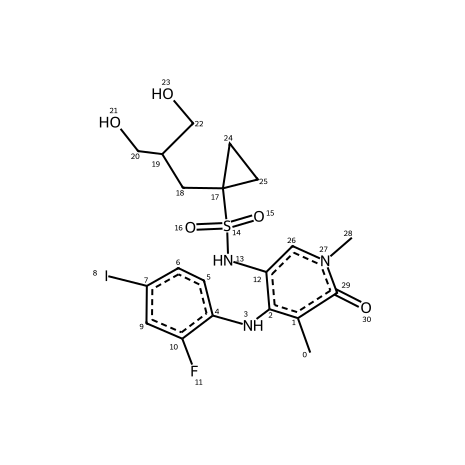 Cc1c(Nc2ccc(I)cc2F)c(NS(=O)(=O)C2(CC(CO)CO)CC2)cn(C)c1=O